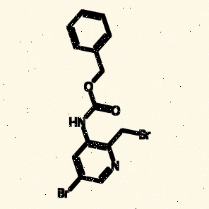 O=C(Nc1cc(Br)cnc1CBr)OCc1ccccc1